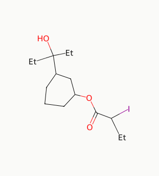 CCC(I)C(=O)OC1CCCC(C(O)(CC)CC)C1